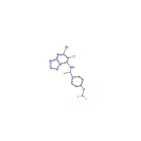 CCc1nc2ncnn2c(NC(C)c2ccc(OC(F)F)cc2)c1Cl